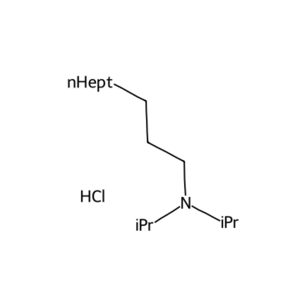 CCCCCCCCCCN(C(C)C)C(C)C.Cl